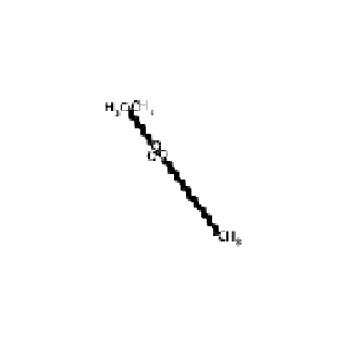 CCCCCCCCC=CCCCCCCCCOC(=O)OCCCCCCCC(C)C